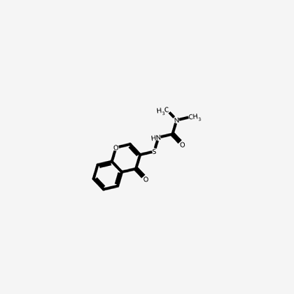 CN(C)C(=O)NSc1coc2ccccc2c1=O